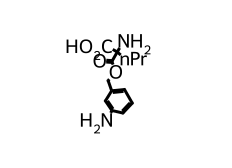 CCCC(N)(C(=O)O)C(=O)OCc1cccc(N)c1